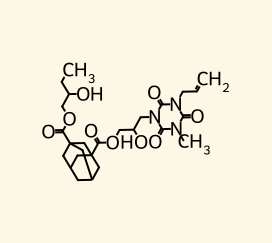 C=CCn1c(=O)n(C)c(=O)n(CC(O)COC(=O)C23CC4CC(CC(C(=O)OCC(O)CC)(C4)C2)C3)c1=O